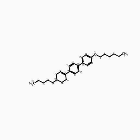 CCCCCCOc1ccc(-c2ccc(C3=CCC(CCCCC)CC3)cc2)cc1